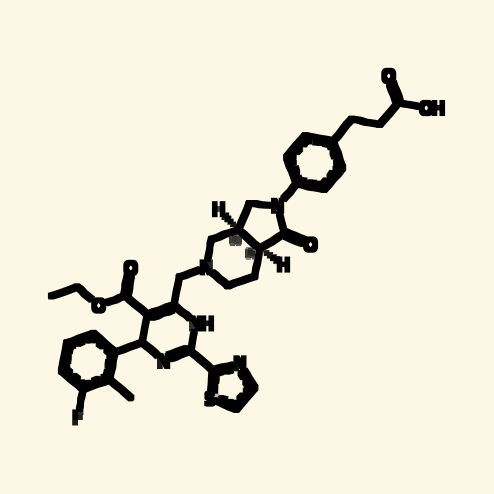 CCOC(=O)C1=C(CN2CC[C@@H]3C(=O)N(c4ccc(CCC(=O)O)cc4)C[C@@H]3C2)NC(c2nccs2)=NC1c1cccc(F)c1C